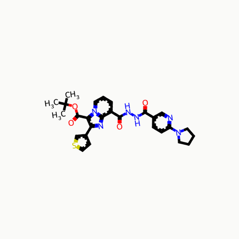 CC(C)(C)OC(=O)c1c(-c2ccsc2)nc2c(C(=O)NNC(=O)c3ccc(N4CCCC4)nc3)cccn12